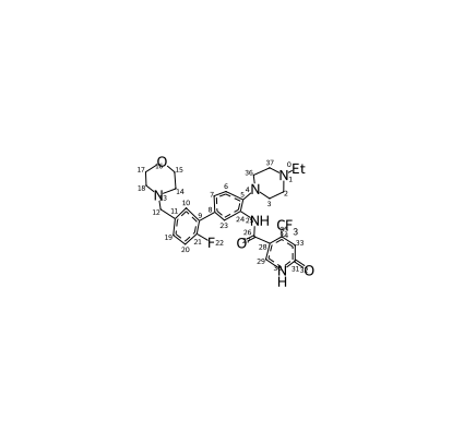 CCN1CCN(c2ccc(-c3cc(CN4CCOCC4)ccc3F)cc2NC(=O)c2c[nH]c(=O)cc2C(F)(F)F)CC1